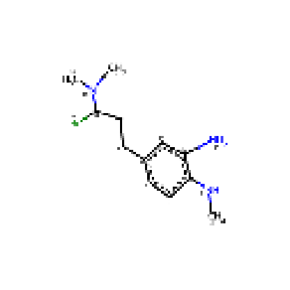 CNc1ccc(CCC(Br)N(C)C)cc1N